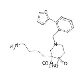 NCCCCC1(C(=O)O)CN(Cc2ccccc2-c2ccco2)CCP1(=O)O